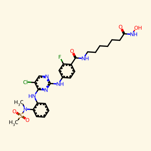 CN(c1ccccc1Nc1nc(Nc2ccc(C(=O)NCCCCCCC(=O)NO)c(F)c2)ncc1Cl)S(C)(=O)=O